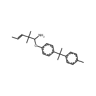 CC=CC(C)(C)C(N)Oc1ccc(C(C)(C)c2ccc(C)cc2)cc1